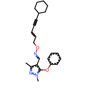 Cc1nn(C)c(Oc2ccccc2)c1C=NOCC=CC#CC1CCCCC1